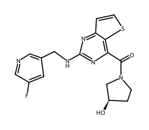 O=C(c1nc(NCc2cncc(F)c2)nc2ccsc12)N1CC[C@@H](O)C1